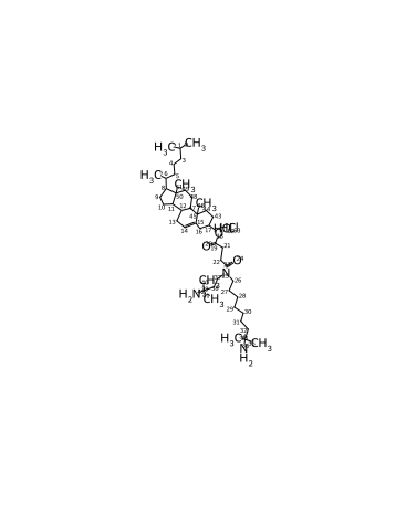 CC(C)CCCC(C)C1CCC2C3CC=C4CC(OC(=O)CCC(=O)N(CCCCCCCC(C)(C)N)CCC(C)(C)N)CCC4(C)C3CCC12C.Cl.Cl